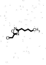 CCCCCc1noc(CCl)n1